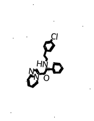 O=C(c1cnc2ccccn12)[C@H](NCCc1ccc(Cl)cc1)c1ccccc1